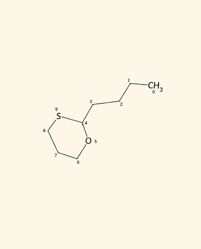 CCCC[C]1OCCCS1